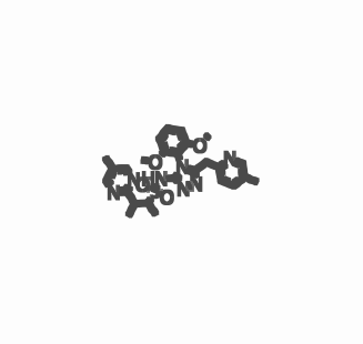 COc1cccc(OC)c1-n1c(Cc2ccc(C)cn2)nnc1NS(=O)(=O)C(C)C(C)c1ncc(C)cn1